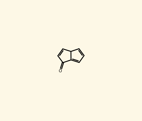 O=C1C=CC2C=CC=C12